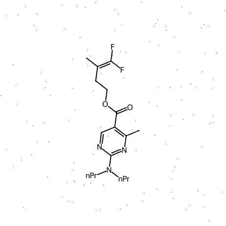 CCCN(CCC)c1ncc(C(=O)OCCC(C)=C(F)F)c(C)n1